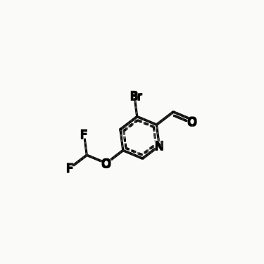 O=Cc1ncc(OC(F)F)cc1Br